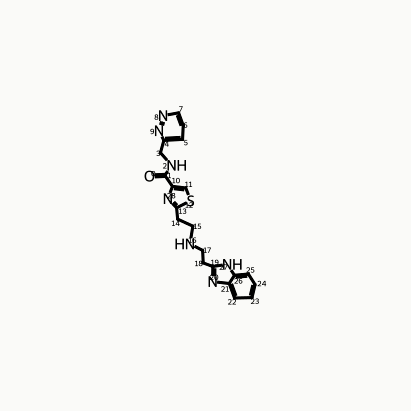 O=C(NCc1cccnn1)c1csc(CCNCCc2nc3ccccc3[nH]2)n1